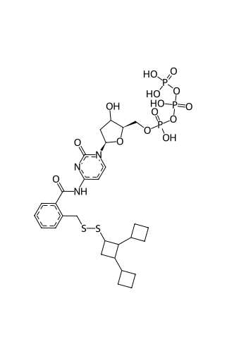 O=C(Nc1ccn([C@H]2CC(O)[C@@H](COP(=O)(O)OP(=O)(O)OP(=O)(O)O)O2)c(=O)n1)c1ccccc1CSSC1CC(C2CCC2)C1C1CCC1